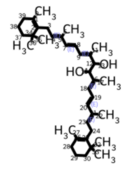 CC1=C(C/C=C(C)/C=C/C=C(\C)C(O)C(O)/C(C)=C/C=C/C(C)=C/CC2=C(C)CCCC2(C)C)C(C)(C)CCC1